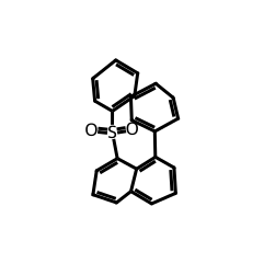 O=S(=O)(c1ccccc1)c1cccc2cccc(-c3ccccc3)c12